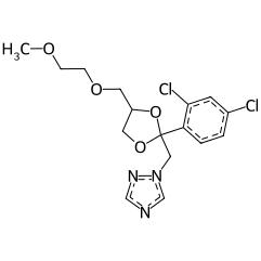 COCCOCC1COC(Cn2cncn2)(c2ccc(Cl)cc2Cl)O1